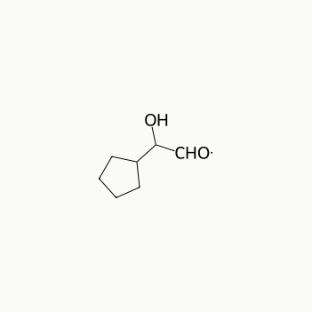 O=[C]C(O)C1CCCC1